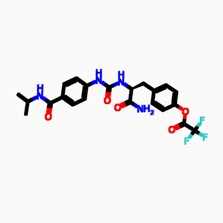 CC(C)NC(=O)c1ccc(NC(=O)N[C@@H](Cc2ccc(OC(=O)C(F)(F)F)cc2)C(N)=O)cc1